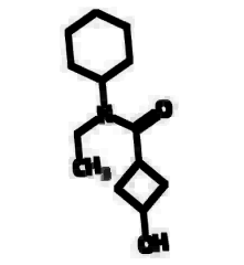 CCN(C(=O)C1CC(O)C1)C1CCCCC1